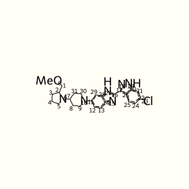 COCC1CCCN1C1CCN(c2ccc3nc(-c4n[nH]c5cc(Cl)ccc45)[nH]c3c2)CC1